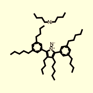 CCCCCC1=C(c2cc(CCCC)cc(CCCCC)c2)[N+](=[N-])C(c2cc(CCCC)cc(CCCCC)c2)=C1CCCC.CCC[CH2][Ni][CH2]CCC